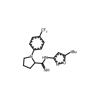 CC(C)(C)c1cc(NC(=N)C2CCCN2c2ccc(C(F)(F)F)cc2)no1